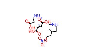 NCCC(=O)O.O=C(O)/C=C/C(=O)O.O=[N+]([O-])OCCC1CCNCC1